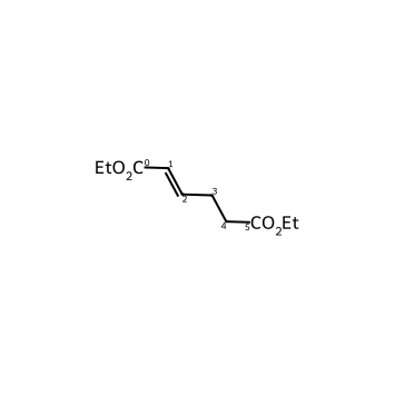 CCOC(=O)/C=C/CCC(=O)OCC